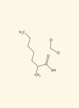 CCCCCC(C)C(=O)O.ClCCl